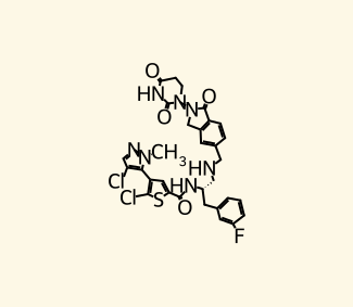 Cn1ncc(Cl)c1-c1cc(C(=O)N[C@H](CNCc2ccc3c(c2)CN(N2CCC(=O)NC2=O)C3=O)Cc2cccc(F)c2)sc1Cl